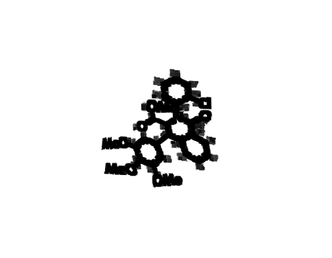 COC(=O)c1c(-c2cc(OC)c(OC)c(OC)c2)c2ccccc2c(=O)n1-c1ccccc1Cl